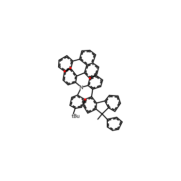 CC(C)(C)c1ccc(N(c2ccccc2-c2cccc3c2-c2ccccc2C3(C)c2ccccc2)c2ccccc2-c2cccc3cccc(-c4ccccc4)c23)cc1